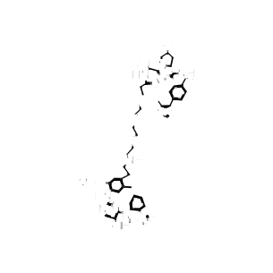 COc1cc(CCNCCOCCOCCOCCC(=O)N[C@H](C(=O)N2C[C@H](O)C[C@H]2C(=O)N[C@@H](C)c2ccc(-c3scnc3C)cc2)C(C)(C)C)c(C)cc1Nc1ncc(Cl)c(Nc2ccccc2S(=O)(=O)C(C)C)n1